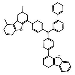 CC1CC(C2C=CC(N(c3ccc(C4=CCCc5c4oc4ccccc54)cc3)c3cccc(C4=CCCC=C4)c3)=CC2)=C2OC3=C(C(C)CC=C3)C2C1